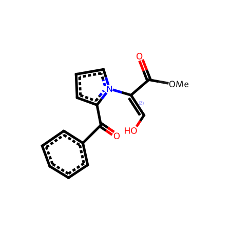 COC(=O)/C(=C/O)n1cccc1C(=O)c1ccccc1